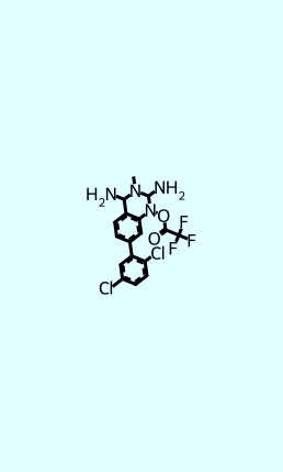 CN1C(N)c2ccc(-c3cc(Cl)ccc3Cl)cc2N(OC(=O)C(F)(F)F)C1N